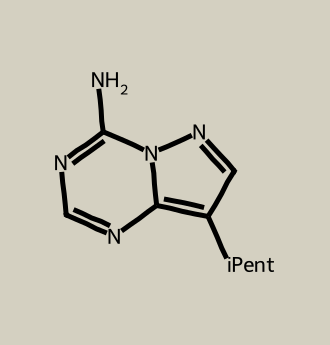 CCCC(C)c1cnn2c(N)ncnc12